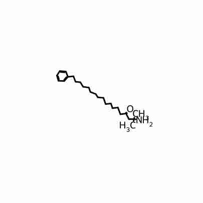 CC(C)(N)CC(=O)CCCCCCCCCCCCCCc1ccccc1